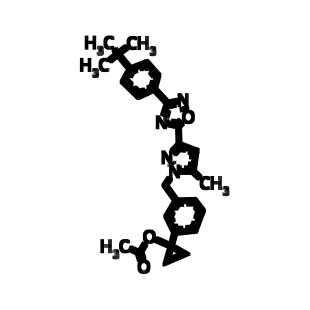 CC(=O)OC1(c2cccc(Cn3nc(-c4nc(-c5ccc(C(C)(C)C)cc5)no4)cc3C)c2)CC1